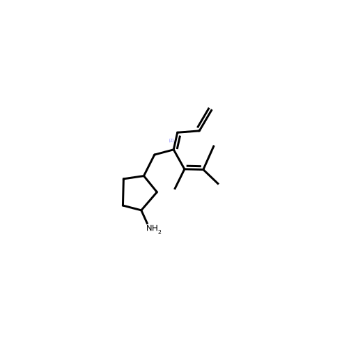 C=C/C=C(/CC1CCC(N)C1)C(C)=C(C)C